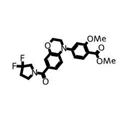 COC(=O)c1ccc(N2CCOc3cc(C(=O)N4CCC(F)(F)C4)ccc32)cc1OC